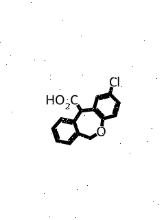 O=C(O)C1c2ccccc2COc2ccc(Cl)cc21